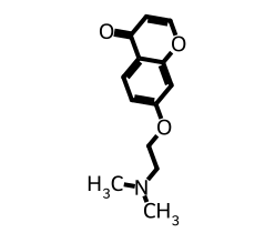 CN(C)CCOc1ccc2c(=O)ccoc2c1